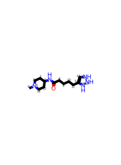 CN1CCC(NC(=O)CCCCC2=CNNN2)CC1